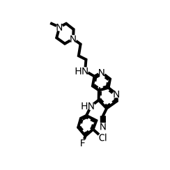 CN1CCN(CCCNc2cc3c(Nc4ccc(F)c(Cl)c4)c(C#N)cnc3cn2)CC1